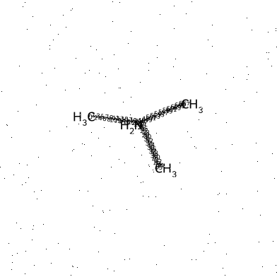 CCCCCCCCCCCCCCCCCCCCCCC(N)(CCCCCCCCCCCCCCCCCCCCCC)CCCCCCCCCCCCCCCCCCCCCC